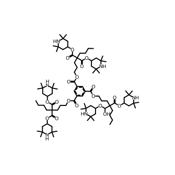 CCCCC(CCCOC(=O)c1cc(C(=O)OCCCC(CCCC)(C(=O)OC2CC(C)(C)NC(C)(C)C2)C(=O)OC2CC(C)(C)NC(C)(C)C2)cc(C(=O)OCCCC(CCCC)(C(=O)OC2CC(C)(C)NC(C)(C)C2)C(O)OC2CC(C)(C)NC(C)(C)C2)c1)(C(=O)OC1CC(C)(C)NC(C)(C)C1)C(=O)OC1CC(C)(C)NC(C)(C)C1